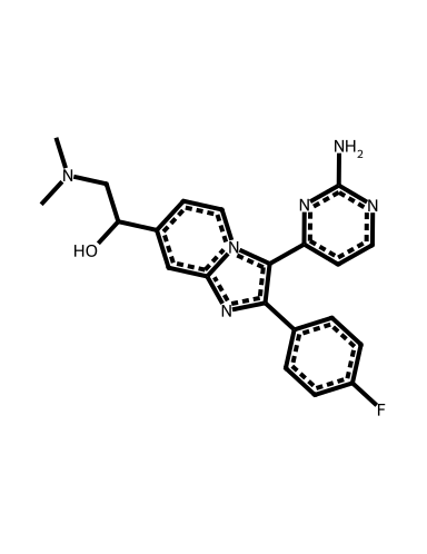 CN(C)CC(O)c1ccn2c(-c3ccnc(N)n3)c(-c3ccc(F)cc3)nc2c1